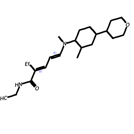 CC/C(=C\C=C\N(C)C1CCC(C2CCOCC2)CC1C)C(=O)NCC=O